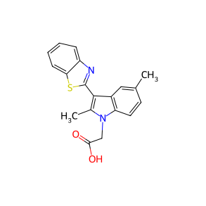 Cc1ccc2c(c1)c(-c1nc3ccccc3s1)c(C)n2CC(=O)O